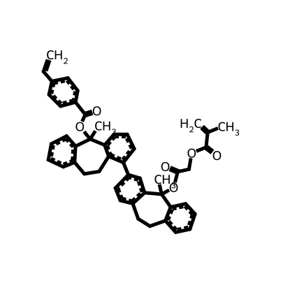 C=Cc1ccc(C(=O)OC2(C)c3ccccc3CCc3c(-c4ccc5c(c4)C(C)(OC(=O)COC(=O)C(=C)C)c4ccccc4CC5)cccc32)cc1